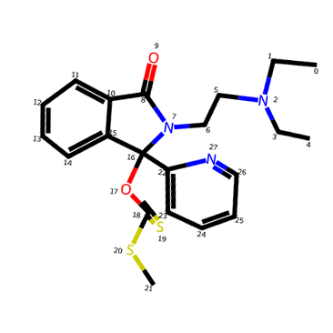 CCN(CC)CCN1C(=O)c2ccccc2C1(OC(=S)SC)c1ccccn1